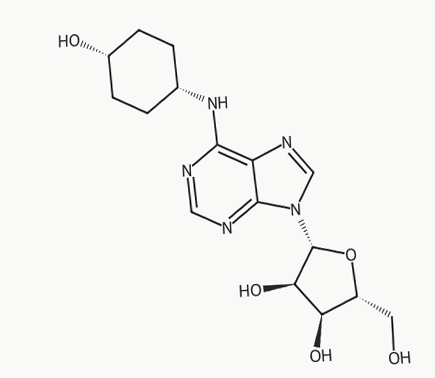 OC[C@H]1O[C@@H](n2cnc3c(N[C@H]4CC[C@@H](O)CC4)ncnc32)[C@H](O)[C@@H]1O